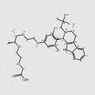 C[C@H](OCCOCC(=O)O)[C@H](C)OCCOc1cc(F)c([C@@H]2c3[nH]c4ccccc4c3C[C@@H](C)N2CC(C)(C)F)c(F)c1